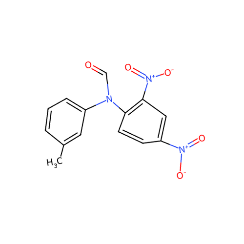 Cc1cccc(N(C=O)c2ccc([N+](=O)[O-])cc2[N+](=O)[O-])c1